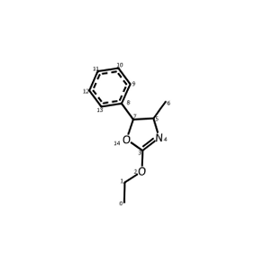 CCOC1=NC(C)C(c2ccccc2)O1